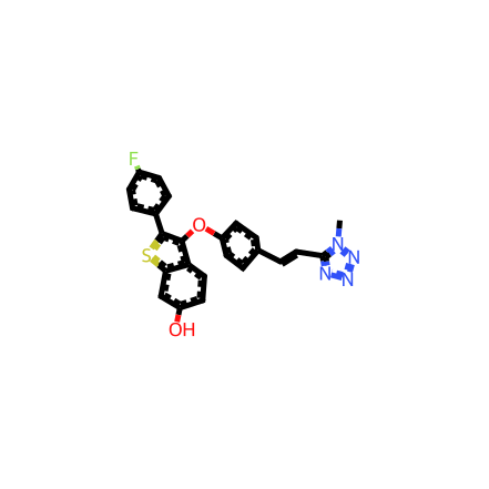 Cn1nnnc1C=Cc1ccc(Oc2c(-c3ccc(F)cc3)sc3cc(O)ccc23)cc1